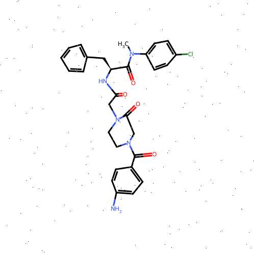 CN(C(=O)[C@H](Cc1ccccc1)NC(=O)CN1CCN(C(=O)c2ccc(N)cc2)CC1=O)c1ccc(Cl)cc1